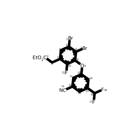 CCOC(=O)Cc1cc(Br)c(Br)c(Oc2cc(C#N)cc(C(F)F)c2)c1F